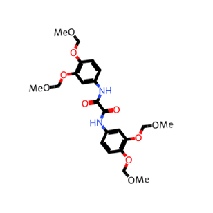 COCOc1ccc(NC(=O)C(=O)Nc2ccc(OCOC)c(OCOC)c2)cc1OCOC